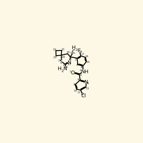 CC1(c2cc(NC(=O)c3ccc(Cl)cn3)ccc2F)CC2(CCC2)SC(N)=N1